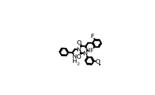 COc1cccc(-n2nc(Cc3c(F)cccc3F)c(=O)n(CC(N)c3ccccc3)c2=O)c1